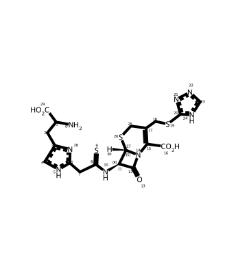 NC(Cc1c[nH]c(CC(=S)N[C@@H]2C(=O)N3C(C(=O)O)=C(CSc4nnc[nH]4)CS[C@@H]23)n1)C(=O)O